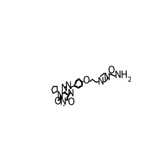 Cn1c(=O)c2nc(-c3ccc(OCCCN4CCN(C(=O)CN)CC4)cc3)nnc2n(C2CCCC2)c1=O